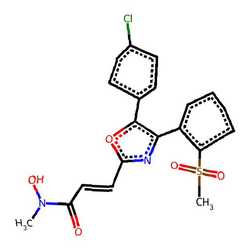 CN(O)C(=O)C=Cc1nc(-c2ccccc2S(C)(=O)=O)c(-c2ccc(Cl)cc2)o1